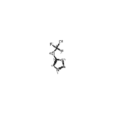 FC(F)(F)Oc1cn[c]s1